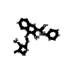 Cc1nsc(/N=N/c2c(O)c(C(=O)Nc3ccccc3)cc3ccccc23)c1C#N